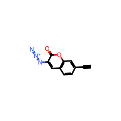 C#Cc1ccc2cc(N=[N+]=[N-])c(=O)oc2c1